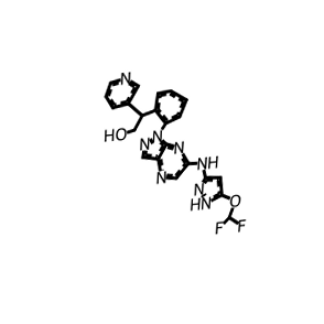 OCC(c1cccnc1)c1ccccc1-n1ncc2ncc(Nc3cc(OC(F)F)[nH]n3)nc21